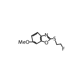 COc1ccc2nc(SCCF)oc2c1